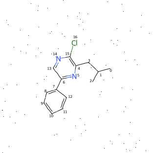 CC(C)Cc1nc(-c2ccccc2)cnc1Cl